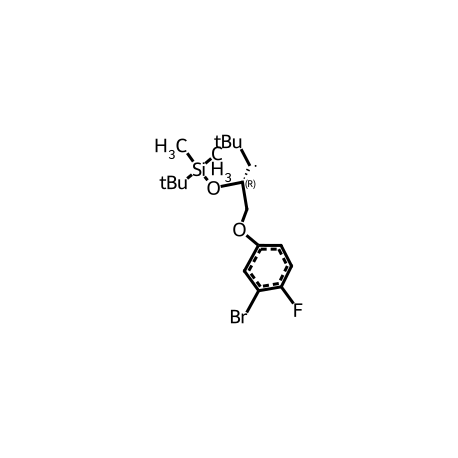 CC(C)(C)[CH][C@H](COc1ccc(F)c(Br)c1)O[Si](C)(C)C(C)(C)C